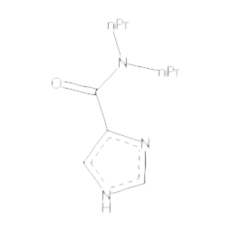 CCCN(CCC)C(=O)c1c[nH]cn1